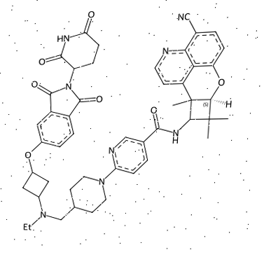 CCN(CC1CCN(c2ccc(C(=O)NC3C(C)(C)[C@@H]4Oc5ccc(C#N)c6nccc(c56)C34C)cn2)CC1)C1CC(Oc2ccc3c(c2)C(=O)N(C2CCC(=O)NC2=O)C3=O)C1